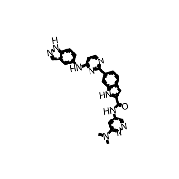 CN(C)c1cc(NC(=O)c2cc3ccc(-c4nccc(Nc5ccc6[nH]ncc6c5)n4)cc3[nH]2)cnn1